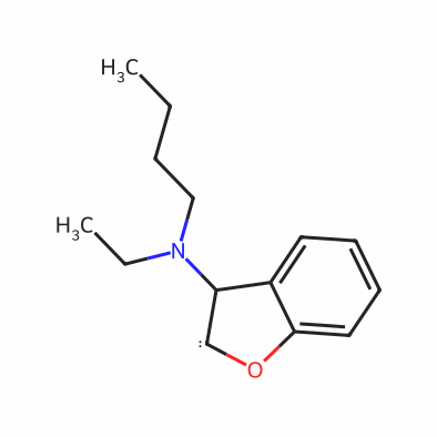 CCCCN(CC)C1[C]Oc2ccccc21